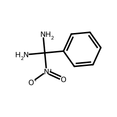 NC(N)(c1ccccc1)[N+](=O)[O-]